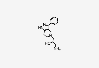 NCC(O)CN1CCc2[nH]nc(-c3ccccc3)c2C1